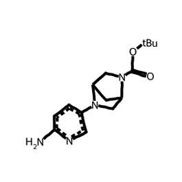 CC(C)(C)OC(=O)N1CC2CC1CN2c1ccc(N)nc1